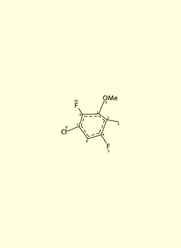 COc1c(C)c(F)cc(Cl)c1F